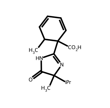 CC(C)C1(C)N=C(C2(C(=O)O)C=CC=CC2C)NC1=O